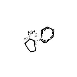 N[C@H]1CCC[C@H]1c1ccccc1